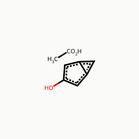 CC(=O)O.Oc1cc2cc-2c1